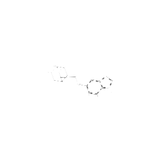 c1nc2cc(NCC3CN4CCC3CC4)ccc2s1